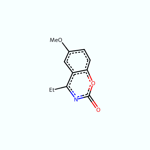 CCc1nc(=O)oc2ccc(OC)cc12